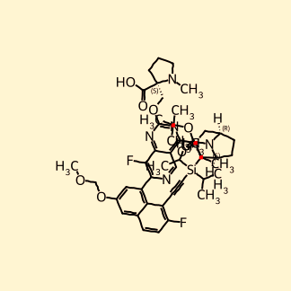 COCOc1cc(-c2ncc3c(N4C[C@H]5CC[C@@H](C4)N5C(=O)OC(C)(C)C)nc(OC[C@]4(C(=O)O)CCCN4C)nc3c2F)c2c(C#C[Si](C(C)C)(C(C)C)C(C)C)c(F)ccc2c1